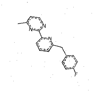 Cc1ccnc(-c2cccc(Cc3ccc(F)cc3)n2)n1